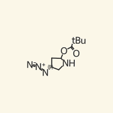 CC(C)(C)C(=O)OC1C[C@@H](N=[N+]=[N-])CN1